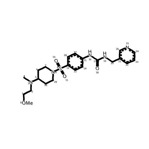 COCCN(C)C1CCN(S(=O)(=O)c2ccc(NC(=O)NCc3cccnc3)cc2)CC1